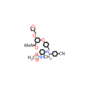 CNC(=O)c1cc(OCC2CCOC2)cc(Oc2ccc(CN(Cc3ccc(C#N)cc3)c3cccc(NS(C)(=O)=O)c3C)cc2)c1